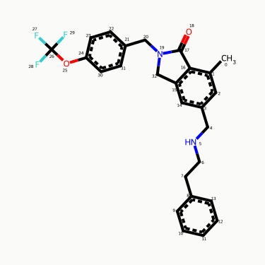 Cc1cc(CNCCc2ccccc2)cc2c1C(=O)N(Cc1ccc(OC(F)(F)F)cc1)C2